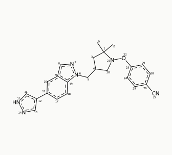 CC1(C)CC(Cn2ncc3cc(-c4cn[nH]c4)ccc32)CN1Oc1ccc(C#N)cc1